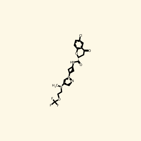 CN(CCOC(F)(F)F)c1cnn(C23CC(NC(=O)[C@H]4CC(=O)c5cc(Cl)ccc5O4)(C2)C3)c1